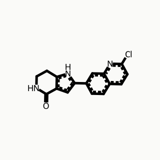 O=C1NCCc2[nH]c(-c3ccc4ccc(Cl)nc4c3)cc21